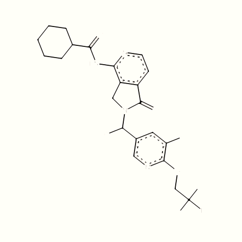 CC(c1cnc(OCC(F)(F)F)c(Cl)c1)N1Cc2c(ccnc2NC(=O)C2CCCCC2)C1=O